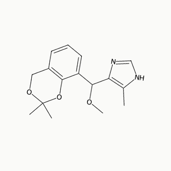 COC(c1cccc2c1OC(C)(C)OC2)c1nc[nH]c1C